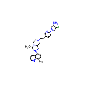 CC1CN(c2ccc(C#N)c3ncccc23)CC2CN(CCc3ccc(N4CC(N)C(F)C4)nc3)CCN12